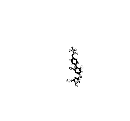 CS(=O)(=O)NCc1ccc(-c2c(Cl)cc(Nc3n[nH]c(N)n3)cc2Cl)cc1